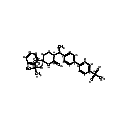 C[C@@H](c1ccc(-c2ccc(S(C)(=O)=O)cn2)cc1)N1CC[C@](CC(C)(C)O)(c2ccccc2)OC1=O